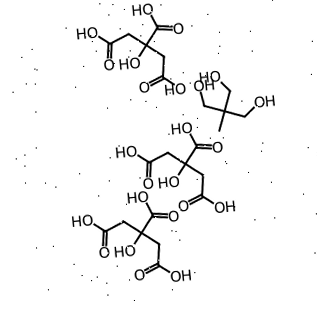 CC(CO)(CO)CO.O=C(O)CC(O)(CC(=O)O)C(=O)O.O=C(O)CC(O)(CC(=O)O)C(=O)O.O=C(O)CC(O)(CC(=O)O)C(=O)O